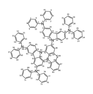 c1ccc(N(c2ccccc2)c2ccc3c(c2)c2cc(N(c4ccccc4)c4ccccc4)ccc2n3-c2cc3c4c(c2)-n2c5ccc(N(c6ccccc6)c6ccccc6)cc5c5cc(N(c6ccccc6)c6ccccc6)cc(c52)B4c2ccccc2S3)cc1